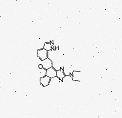 CCN(CC)C1=NC2=C(Cc3cccc4cn[nH]c34)C(=O)c3ccccc3C2=N1